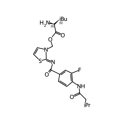 CC[C@H](C)[C@H](N)C(=O)OCn1ccsc1=NC(=O)c1ccc(NC(=O)CC(C)C)c(F)c1